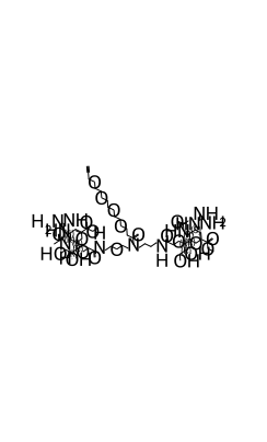 C#CCOCCOCCOCCOCCC(=O)N(CCCCNC(=O)CO[C@@H]([C@@H]1OC(C(=O)OC)=C[C@H](NC(=N)N)[C@H]1NC(C)=O)[C@H](O)CO)CCOCCNC(=O)CO[C@@H]([C@@H]1OC(C(=O)OC)=C[C@H](NC(=N)N)[C@H]1NC(C)=O)[C@H](O)CO